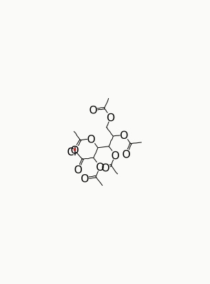 CC(=O)OCC(OC(C)=O)C(OC(C)=O)C(OC(C)=O)C(OC(C)=O)C(=O)Cl